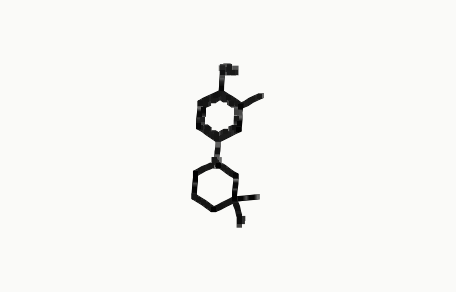 Cc1cc(N2CCCC(C)(F)C2)ccc1C(C)(C)C